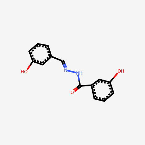 O=C(NN=Cc1cccc(O)c1)c1cccc(O)c1